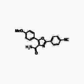 [C-]#[N+]c1ccc(-c2nc(C(N)=O)c(-c3ccc(OC)cc3)o2)cc1